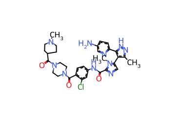 Cc1n[nH]c(-c2ccc(N)cn2)c1-c1cnc(C(=O)Nc2ccc(C(=O)N3CCN(C(=O)C4CCN(C)CC4)CC3)c(Cl)c2)n1C